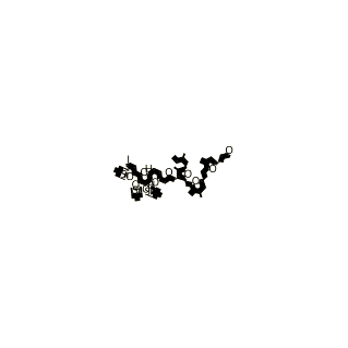 C=C1C[C@H](CCC=O)OC1CC[C@H]1C[C@@H](C)C(=C)C(C[C@@H]2O[C@H](C[C@H](C)CC)[C@H](C)[C@H]2CC(=O)CC2CC[C@@H]3O[C@@H]([C@H](/C=C/I)O[Si](C)(C)C(C)(C)C)[C@@H](O[Si](C)(C)C(C)(C)C)[C@@H](O[Si](C)(C)C(C)(C)C)[C@H]3O2)O1